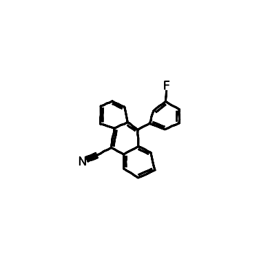 N#Cc1c2ccccc2c(-c2cccc(F)c2)c2ccccc12